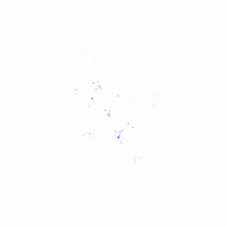 O=C(C(C1CCCCC1)n1cc(-c2cccs2)nn1)N1C[C@H](O)C[C@H]1c1nc2ccccc2s1